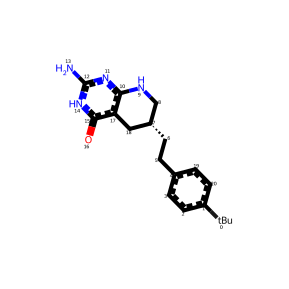 CC(C)(C)c1ccc(CC[C@H]2CNc3nc(N)[nH]c(=O)c3C2)cc1